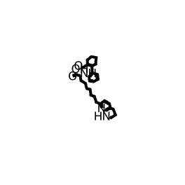 O=C(NC(CCCCCCCc1ccc2c(n1)NCCC2)C(=O)O)C1=C(c2ccccc2)CCCC1